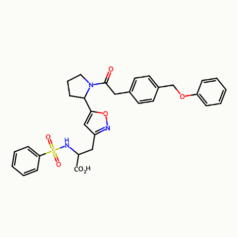 O=C(O)C(Cc1cc(C2CCCN2C(=O)Cc2ccc(COc3ccccc3)cc2)on1)NS(=O)(=O)c1ccccc1